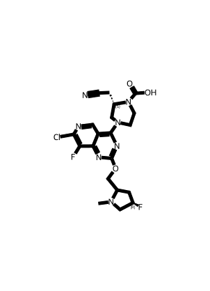 CN1C[C@H](F)CC1COc1nc(N2CCN(C(=O)O)[C@@H](CC#N)C2)c2cnc(Cl)c(F)c2n1